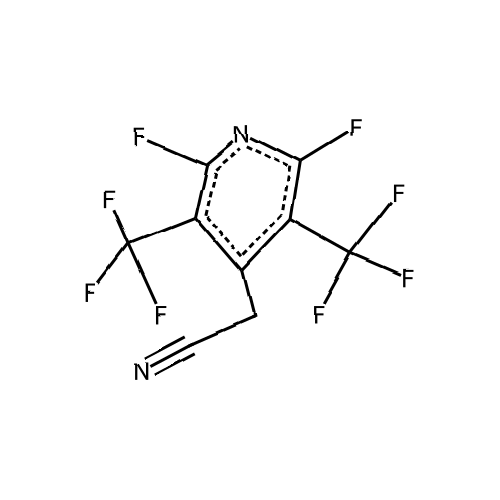 N#CCc1c(C(F)(F)F)c(F)nc(F)c1C(F)(F)F